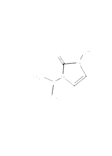 CN(C)n1ccn(C)c1=O